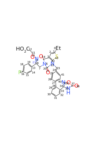 CCc1cc2c(=O)n(C/C(=N/OCC(=O)O)c3ccc(F)cc3)c(=O)n(Cc3ccc(-c4ccccc4-c4noc(=O)[nH]4)cc3)c2s1